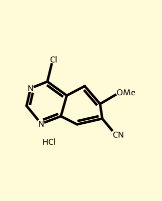 COc1cc2c(Cl)ncnc2cc1C#N.Cl